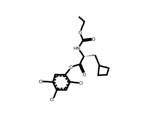 CCOC(=O)N[C@H](CC1CCC1)C(=O)Oc1cc(Cl)c(Cl)cc1Cl